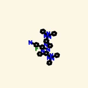 N#Cc1ccc(-c2cc(-n3c4ccccc4c4cc(-c5nc(-c6ccccc6)nc(-c6ccccc6)n5)ccc43)c(C#N)c(-n3c4ccccc4c4cc(-c5nc(-c6ccccc6)nc(-c6ccccc6)n5)ccc43)c2)c(F)c1